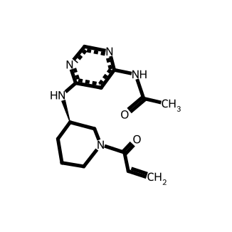 C=CC(=O)N1CCC[C@@H](Nc2cc(NC(C)=O)ncn2)C1